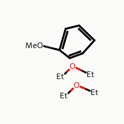 CCOCC.CCOCC.COc1ccccc1